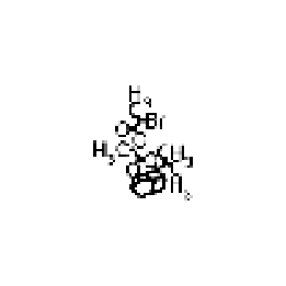 CC(Br)C(=O)OC(C)C(=O)OC1(C(C)C)C2CC3CC(C2)CC1C3